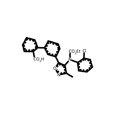 CCOC(=O)N(c1ccccc1Cl)c1c(C)noc1-c1cccc(-c2ccccc2C(=O)O)c1